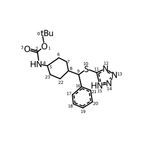 CC(C)(C)OC(=O)NC1CCC(C(Sc2nnn[nH]2)c2ccccc2)CC1